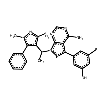 Cc1nn(C)c(-c2ccccc2)c1C(C)n1nc(-c2cc(O)cc(F)c2)c2c(N)ncnc21